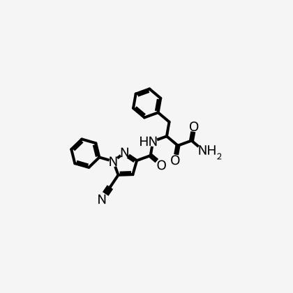 N#Cc1cc(C(=O)NC(Cc2ccccc2)C(=O)C(N)=O)nn1-c1ccccc1